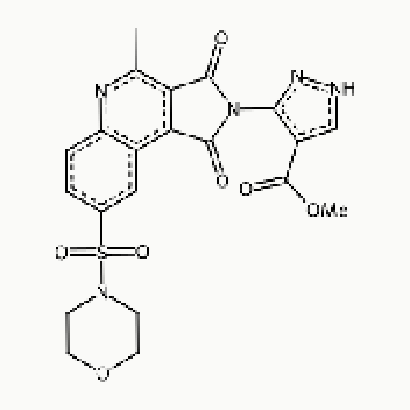 COC(=O)c1c[nH]nc1N1C(=O)c2c(C)nc3ccc(S(=O)(=O)N4CCOCC4)cc3c2C1=O